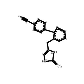 C=C1NC=C(Cc2ccccc2-c2ccc(C#N)cc2)N1